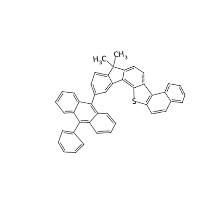 CC1(C)c2ccc(-c3c4ccccc4c(-c4ccccc4)c4ccccc34)cc2-c2c1ccc1c2sc2ccc3ccccc3c21